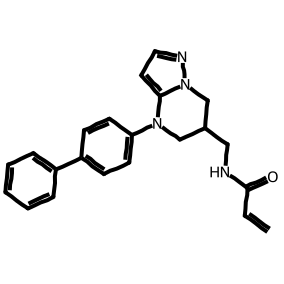 C=CC(=O)NCC1CN(c2ccc(-c3ccccc3)cc2)c2ccnn2C1